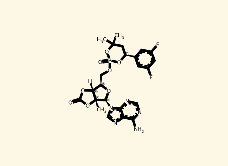 CC1(C)C[C@@H](c2cc(F)cc(F)c2)OP(=O)(OC[C@H]2O[C@@H](n3cnc4c(N)ncnc43)[C@]3(C)OC(=O)O[C@H]23)O1